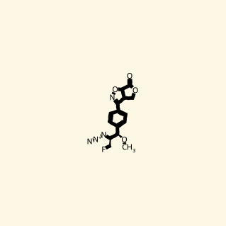 CO[C@H](c1ccc(C2=NOC3C(=O)OCC23)cc1)[C@@H](CF)N=[N+]=[N-]